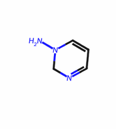 NN1C=CC=NC1